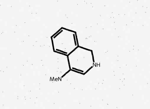 CNC1=CNCc2ccccc21